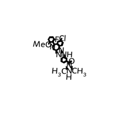 COC1CC=CC(F)=C1C1=NCc2cnc(Nc3cccc(C(=O)N4CC(C)NC(C)C4)c3)nc2-c2ccc(Cl)cc21